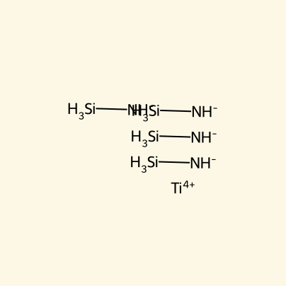 [NH-][SiH3].[NH-][SiH3].[NH-][SiH3].[NH-][SiH3].[Ti+4]